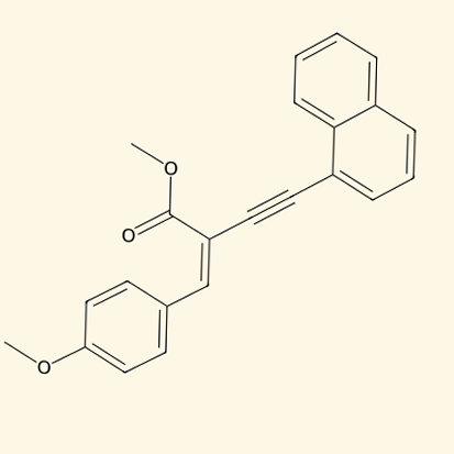 COC(=O)C(C#Cc1cccc2ccccc12)=Cc1ccc(OC)cc1